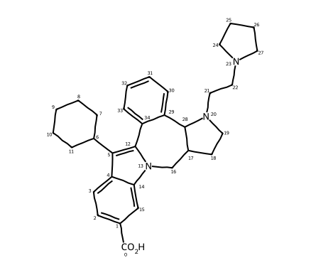 O=C(O)c1ccc2c(C3CCCCC3)c3n(c2c1)CC1CCN(CCN2CCCC2)C1c1ccccc1-3